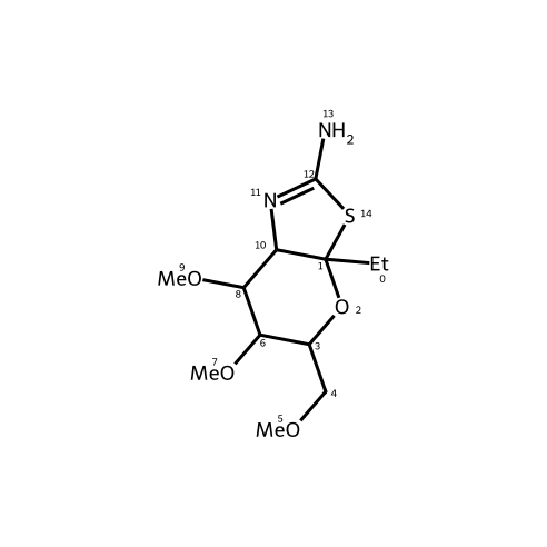 CCC12OC(COC)C(OC)C(OC)C1N=C(N)S2